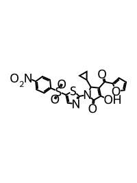 O=C(C1=C(O)C(=O)N(c2ncc(S(=O)(=O)c3ccc([N+](=O)[O-])cc3)s2)C1C1CC1)c1ccco1